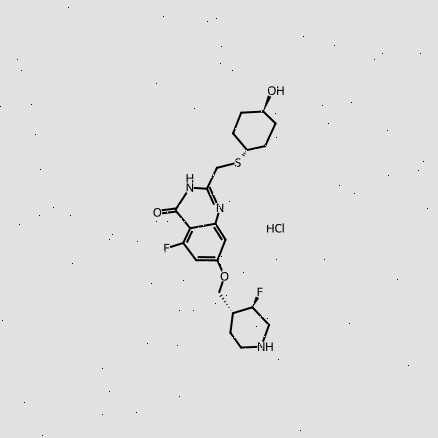 Cl.O=c1[nH]c(CS[C@H]2CC[C@H](O)CC2)nc2cc(OC[C@H]3CCNC[C@@H]3F)cc(F)c12